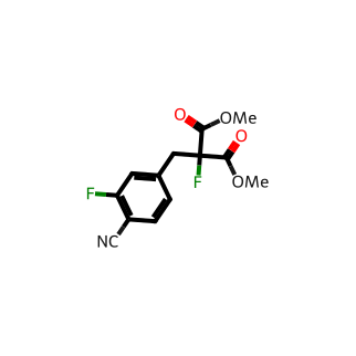 COC(=O)C(F)(Cc1ccc(C#N)c(F)c1)C(=O)OC